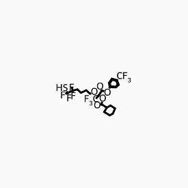 O=C(OC(OCCCCC(F)(F)C(F)(F)S)(C(=O)Oc1ccc(C(F)(F)F)cc1)C(F)(F)F)C1CCCCC1